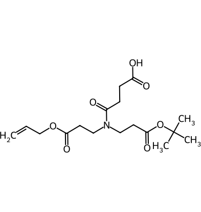 C=CCOC(=O)CCN(CCC(=O)OC(C)(C)C)C(=O)CCC(=O)O